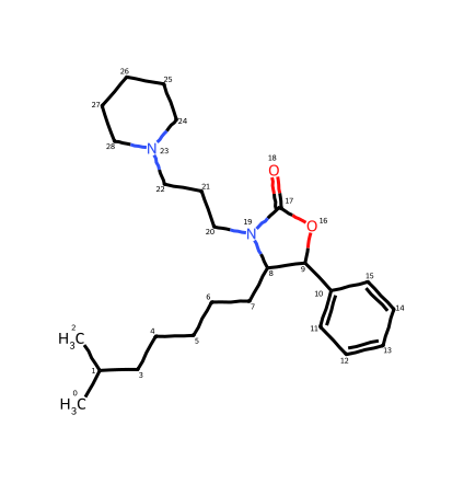 CC(C)CCCCCC1C(c2ccccc2)OC(=O)N1CCCN1CCCCC1